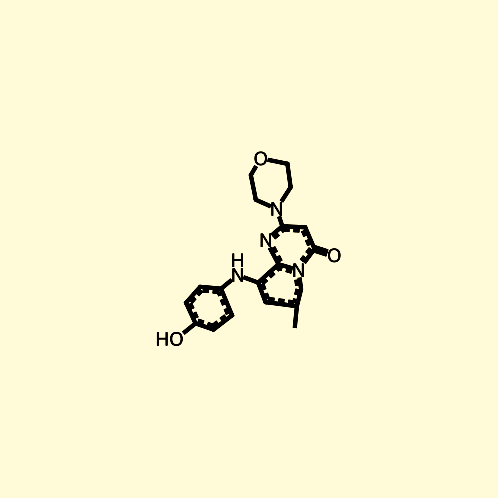 Cc1cc(Nc2ccc(O)cc2)c2nc(N3CCOCC3)cc(=O)n2c1